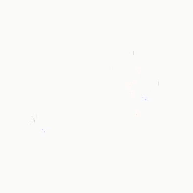 CC(C)OC(=O)[C@H](C)NS(=O)(=O)c1ccc(-c2ccc(CCN3CCC[C@H]3C)cc2)cc1